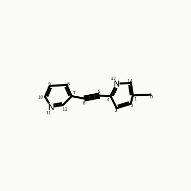 Cc1ccc(C#Cc2cccnc2)nc1